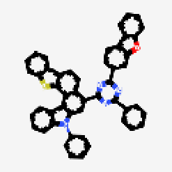 c1ccc(-c2nc(-c3ccc4c(c3)oc3ccccc34)nc(-c3cc4c(c5ccccc5n4-c4ccccc4)c4c3ccc3c5ccccc5sc34)n2)cc1